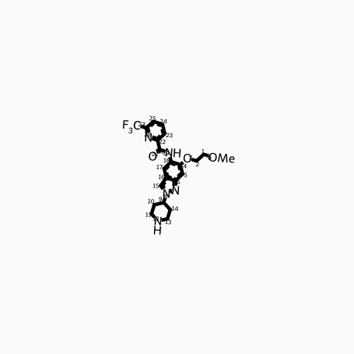 COCCOc1cc2nn(C3CCNCC3)cc2cc1NC(=O)c1cccc(C(F)(F)F)n1